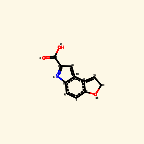 O=C(O)C1=Nc2ccc3c(c2=C1)=CCO3